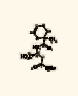 COC(=O)C[C@H](NC(=O)C1(C)CC=CCC1)C(=O)O